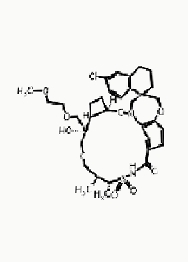 COCCOC[C@]1(O)CCC[C@H](C)[C@@H](C)S(=O)(=O)NC(=O)c2ccc3c(c2)N(C[C@@H]2CC[C@H]21)C[C@@]1(CCCc2cc(Cl)ccc21)CO3